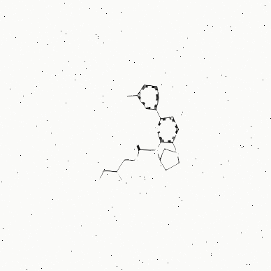 O=C(NC[C@@H](O)CO)N1c2nc(-c3cccc(C(F)(F)F)c3)ccc2N2CCC1C2